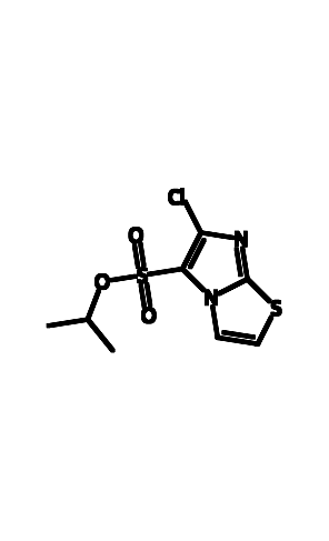 CC(C)OS(=O)(=O)c1c(Cl)nc2sccn12